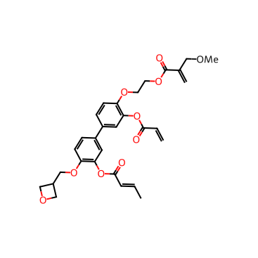 C=CC(=O)Oc1cc(-c2ccc(OCC3COC3)c(OC(=O)/C=C/C)c2)ccc1OCCOC(=O)C(=C)COC